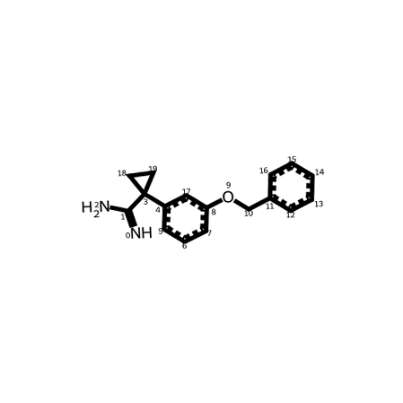 N=C(N)C1(c2cccc(OCc3ccccc3)c2)CC1